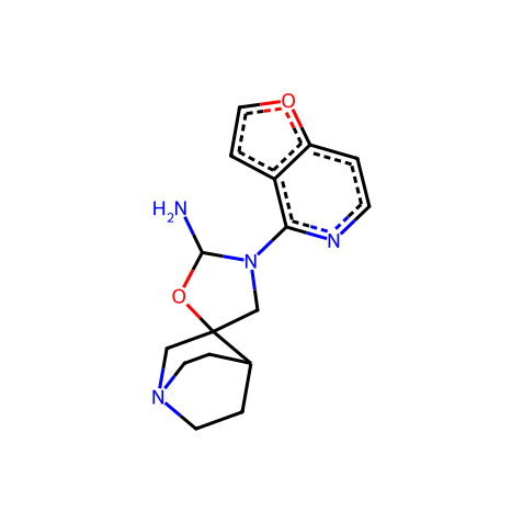 NC1OC2(CN3CCC2CC3)CN1c1nccc2occc12